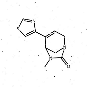 CN1C(=O)N2CC=C(c3cscn3)C1C2